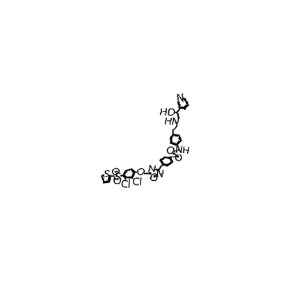 O=S(=O)(Nc1ccc(CCNCC(O)c2cccnc2)cc1)c1ccc(-c2noc(COc3ccc(S(=O)(=O)c4cccs4)c(Cl)c3Cl)n2)cc1